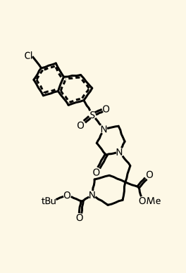 COC(=O)C1(CN2CCN(S(=O)(=O)c3ccc4cc(Cl)ccc4c3)CC2=O)CCN(C(=O)OC(C)(C)C)CC1